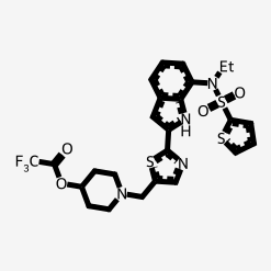 CCN(c1cccc2cc(-c3ncc(CN4CCC(OC(=O)C(F)(F)F)CC4)s3)[nH]c12)S(=O)(=O)c1cccs1